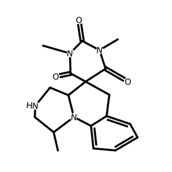 CC1CNCC2N1c1ccccc1CC21C(=O)N(C)C(=O)N(C)C1=O